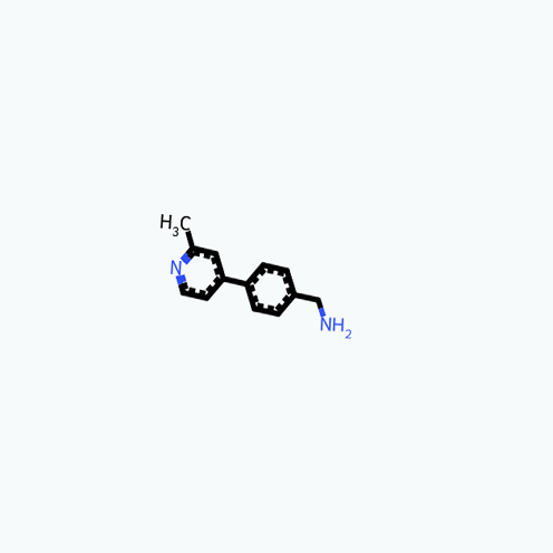 Cc1cc(-c2ccc(CN)cc2)ccn1